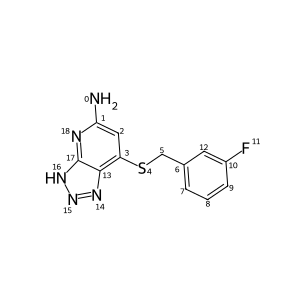 Nc1cc(SCc2cccc(F)c2)c2nn[nH]c2n1